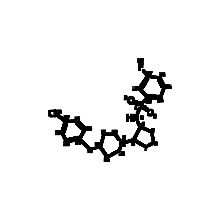 O=S(=O)(NC1CCCC1N1CCC(Cc2ccc(Cl)cc2)CC1)c1cccc(F)c1